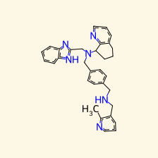 Cc1ncccc1CNCc1ccc(CN(Cc2nc3ccccc3[nH]2)C2CCCc3cccnc32)cc1